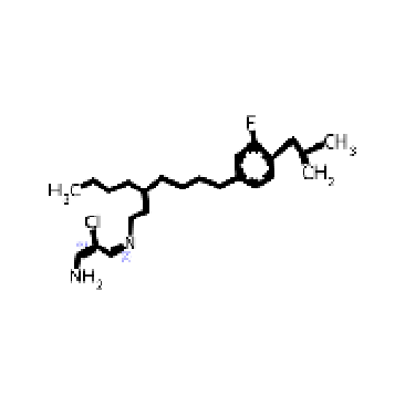 C=C(C)Cc1ccc(CCCCC(CCCC)CC/N=C\C(Cl)=C/N)cc1F